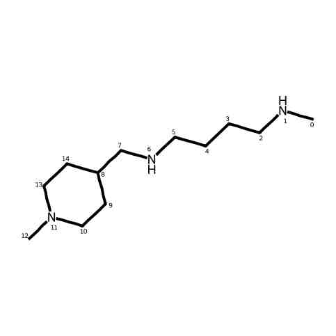 CNCCCCNCC1CCN(C)CC1